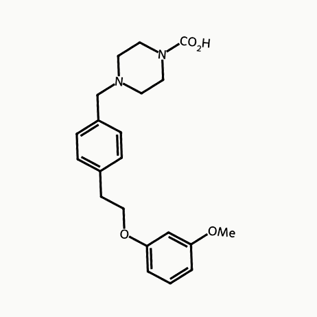 COc1cccc(OCCc2ccc(CN3CCN(C(=O)O)CC3)cc2)c1